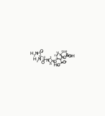 NC(=O)[C@H](N)CC(=O)N1CC(Oc2ccc3c(c2C(=O)O)OB(O)CC3)C1